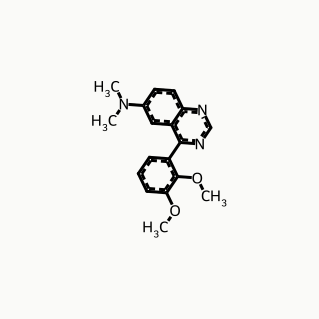 COc1cccc(-c2ncnc3ccc(N(C)C)cc23)c1OC